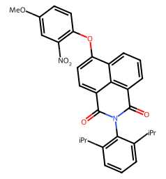 COc1ccc(Oc2ccc3c4c(cccc24)C(=O)N(c2c(C(C)C)cccc2C(C)C)C3=O)c([N+](=O)[O-])c1